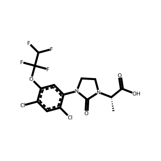 C[C@@H](C(=O)O)N1CCN(c2cc(OC(F)(F)C(F)F)c(Cl)cc2Cl)C1=O